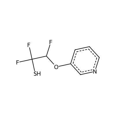 FC(Oc1cccnc1)C(F)(F)S